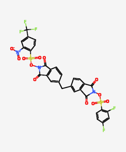 O=C1c2ccc(Cc3ccc4c(c3)C(=O)N(OS(=O)(=O)c3ccc(C(F)(F)F)cc3[N+](=O)[O-])C4=O)cc2C(=O)N1OS(=O)(=O)c1ccc(F)cc1F